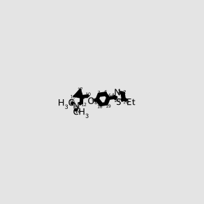 CCc1cnc(-c2ccc(OCC3(CN(C)C)CC3)cc2)s1